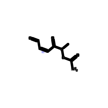 CN(OC(N)=O)C(=O)/C=C\C=O